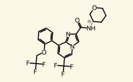 O=C(N[C@H]1CCCOC1)c1cn2cc(C(F)(F)F)cc(-c3ccccc3OCC(F)(F)F)c2n1